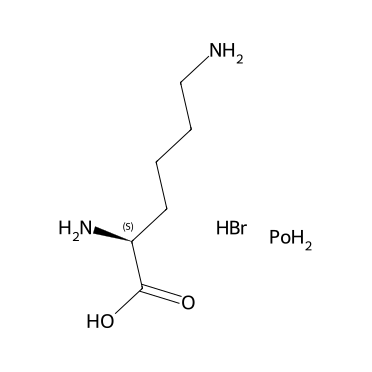 Br.NCCCC[C@H](N)C(=O)O.[PoH2]